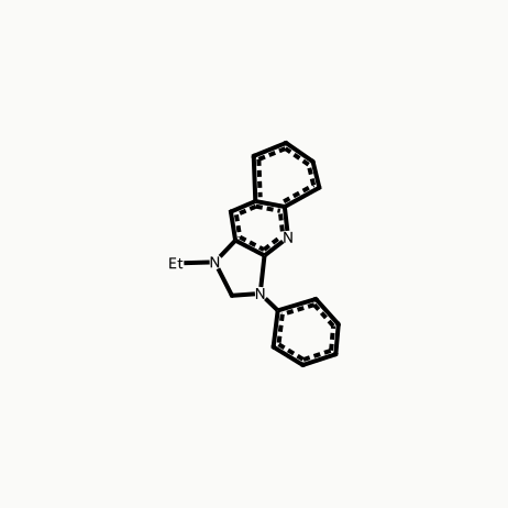 CCN1CN(c2ccccc2)c2nc3ccccc3cc21